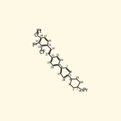 CCCC1CCC(c2ccc(-c3ccc(/C=C/c4ccc(OCC)c(F)c4C(F)(F)F)cc3)cc2)CC1